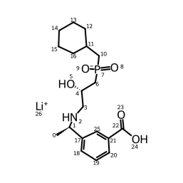 C[C@@H](NC[C@H](O)CP(=O)([O-])CC1CCCCC1)c1cccc(C(=O)O)c1.[Li+]